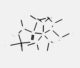 CN(C)P(N(C)C)P(N(C)C)(N(C)C)(N(C)C)P(=NC(C)(C)C)(N(C)C)N(C)C